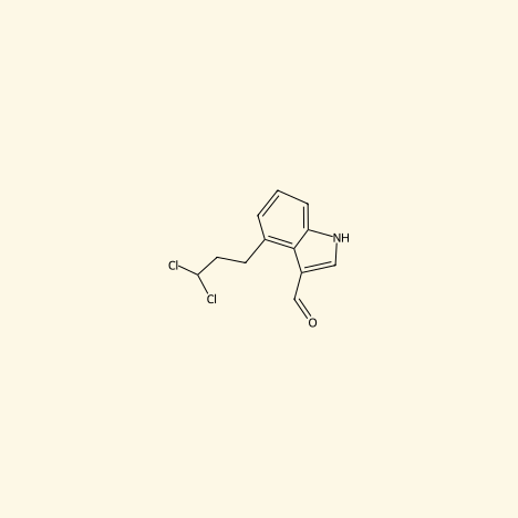 O=Cc1c[nH]c2cccc(CCC(Cl)Cl)c12